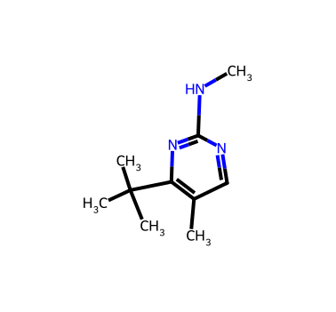 CNc1ncc(C)c(C(C)(C)C)n1